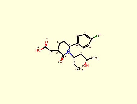 CC[C@@H](CC(C)O)N1C(=O)[C@@H](CC(=O)O)CC[C@H]1c1ccc(Cl)cc1